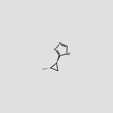 C[C@H]1C[C@@H]1c1nnc[nH]1